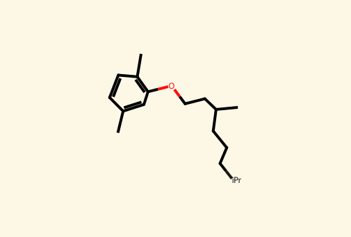 Cc1ccc(C)c(OCCC(C)CCCC(C)C)c1